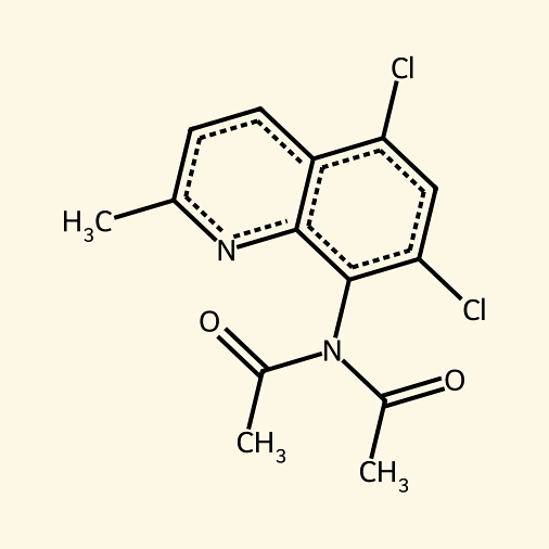 CC(=O)N(C(C)=O)c1c(Cl)cc(Cl)c2ccc(C)nc12